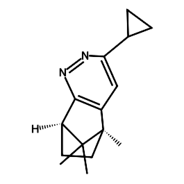 CC1(C)[C@H]2CC[C@]1(C)c1cc(C3CC3)nnc12